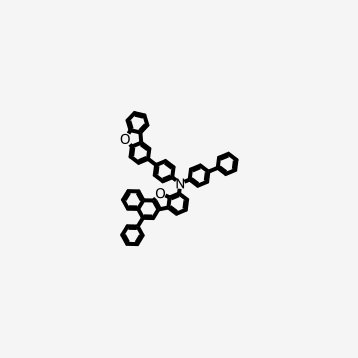 c1ccc(-c2ccc(N(c3ccc(-c4ccc5oc6ccccc6c5c4)cc3)c3cccc4c3oc3c5ccccc5c(-c5ccccc5)cc43)cc2)cc1